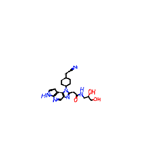 N#CCC1CCC(n2c(CC(=O)NCC(O)CO)nc3cnc4[nH]ccc4c32)CC1